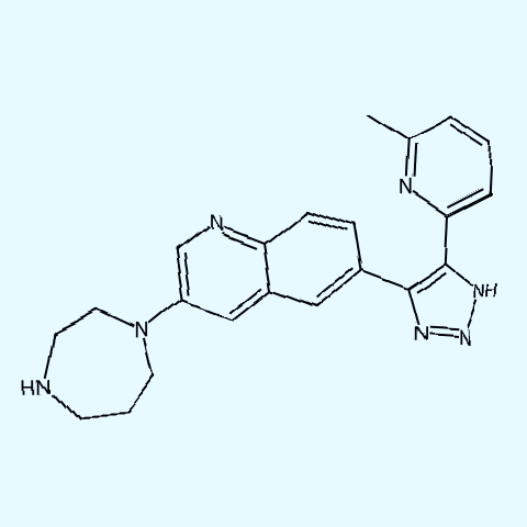 Cc1cccc(-c2[nH]nnc2-c2ccc3ncc(N4CCCNCC4)cc3c2)n1